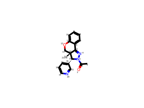 CC(=O)N1N=C2c3ccccc3OC[C@H]2[C@H]1c1cccnc1